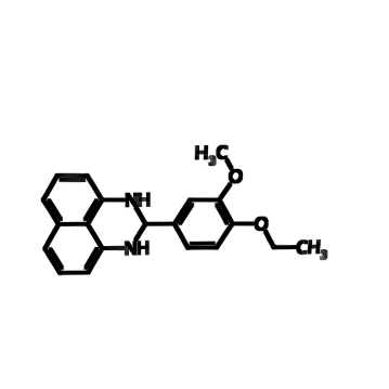 CCOc1ccc(C2Nc3cccc4cccc(c34)N2)cc1OC